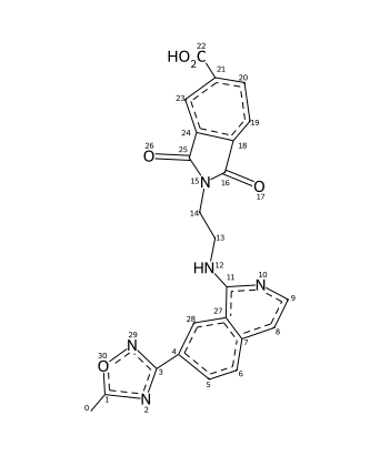 Cc1nc(-c2ccc3ccnc(NCCN4C(=O)c5ccc(C(=O)O)cc5C4=O)c3c2)no1